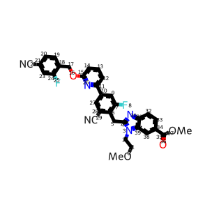 COCCn1c(Cc2c(F)cc(-c3cccc(OCc4ccc(C#N)cc4F)n3)cc2C#N)nc2ccc(C(=O)OC)cc21